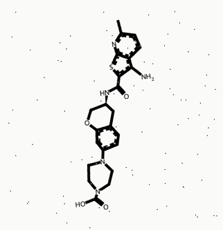 Cc1ccc2c(N)c(C(=O)N[C@@H]3COc4cc(N5CCN(C(=O)O)CC5)ccc4C3)sc2n1